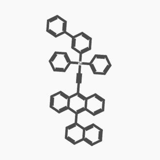 C(#C[Si](c1ccccc1)(c1ccccc1)c1cccc(-c2ccccc2)c1)c1c2ccccc2c(-c2cccc3ccccc23)c2ccccc12